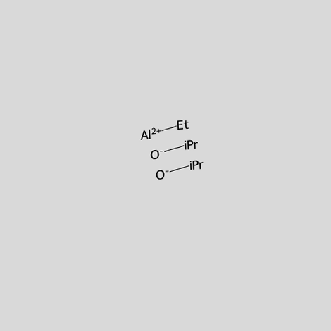 CC(C)[O-].CC(C)[O-].C[CH2][Al+2]